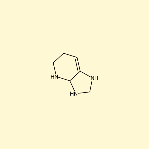 C1=C2NCNC2NCC1